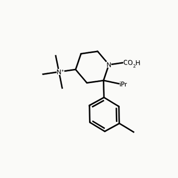 Cc1cccc(C2(C(C)C)CC([N+](C)(C)C)CCN2C(=O)O)c1